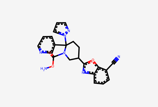 N#Cc1cccc2nc(C3CCC(c4cccnc4)(n4cccn4)N(C(=O)ON)C3)oc12